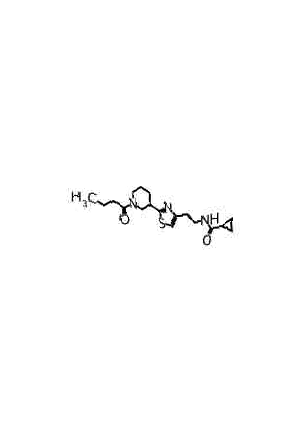 CCCC(=O)N1CCCC(c2nc(CCNC(=O)C3CC3)cs2)C1